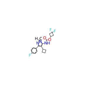 Cn1nc(-c2ccc(F)cc2)c(C2CCC2)c1NC(=O)OC1CC(F)(F)C1